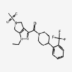 CCn1nc(C(=O)N2CCC(c3ccccc3C(F)(F)F)CC2)c2c1CN(S(C)(=O)=O)C2